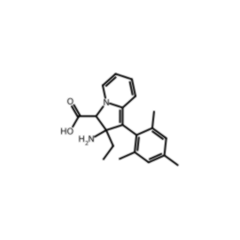 CCC1(N)C(c2c(C)cc(C)cc2C)=C2C=CC=CN2C1C(=O)O